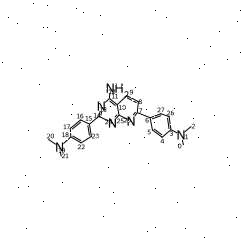 CN(C)c1ccc(-c2ccc3c(N)nc(-c4ccc(N(C)C)cc4)nc3n2)cc1